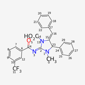 CN1/C(=N/C(=O)c2cccc(C(F)(F)F)c2)N(C(=O)O)/C(=C\c2ccccc2)C1c1ccccc1